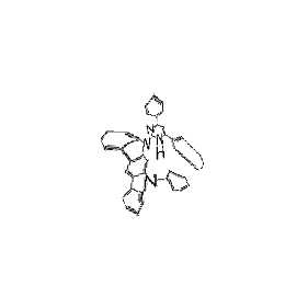 C1=CC(C2=CC(c3ccccc3)=NC(n3c4ccccc4c4cc5c6ccccc6n(-c6ccccc6)c5cc43)N2)=CCC1